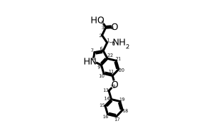 N[C@@H](CC(=O)O)c1c[nH]c2cc(OCc3ccccc3)ccc12